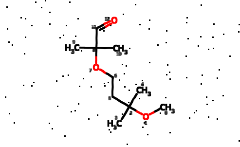 COC(C)(C)CCOC(C)(C)C=O